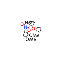 CNC(=O)N(Cc1ccc(OC)c(OC)c1)C(=O)c1ccccc1Oc1ccccc1